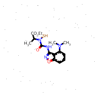 CCOC(=O)C(C)N(S)C(=O)Nc1noc2cccc(N(C)C)c12